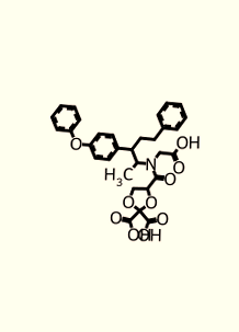 CC(C(CCc1ccccc1)c1ccc(Oc2ccccc2)cc1)N(CC(=O)O)C(=O)C1COC(C(=O)O)(C(=O)O)O1